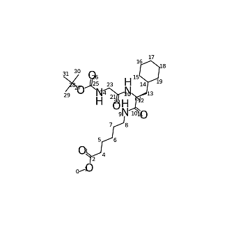 COC(=O)CCCCCNC(=O)[C@H](CC1CCCCC1)NC(=O)CNC(=O)OC(C)(C)C